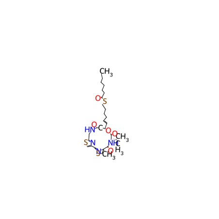 CCCCCCCC(=O)SCCCC/C=C/C1CC(=O)NCc2nc(cs2)C2=N[C@@](C)(CS2)C(=O)N[C@@H](C(C)C)C(=O)O1